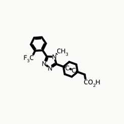 Cn1c(-c2ccccc2C(F)(F)F)nnc1C12CCC(CC(=O)O)(CC1)CC2